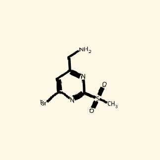 CS(=O)(=O)c1nc(Br)cc(CN)n1